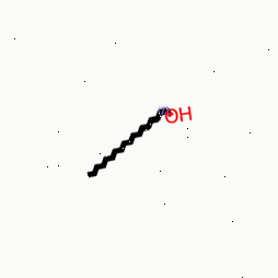 CCCCCCCCCCCCC=CC=C/C=C\O